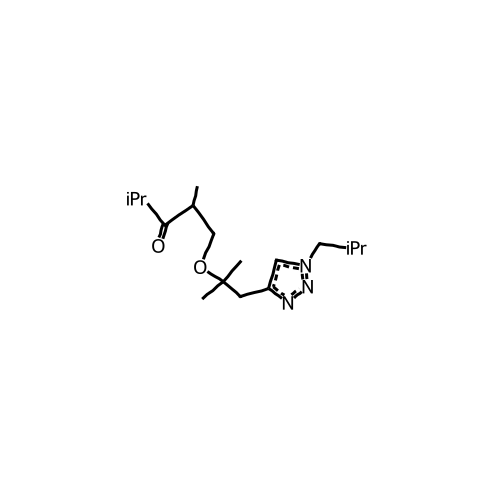 CC(C)Cn1cc(CC(C)(C)OCC(C)C(=O)C(C)C)nn1